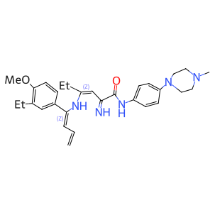 C=C/C=C(\N/C(=C\C(=N)C(=O)Nc1ccc(N2CCN(C)CC2)cc1)CC)c1ccc(OC)c(CC)c1